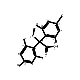 COC(C(=O)O)(c1c(C)cc(C)cc1C)c1c(C)cc(C)cc1C